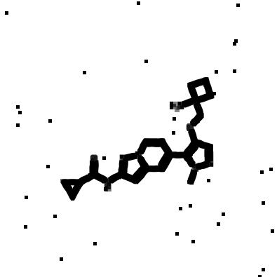 Cn1ncc(OCC2(N)CCC2)c1-c1ccn2nc(NC(=O)C3CC3)cc2c1